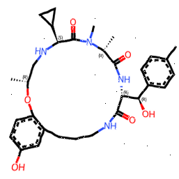 Cc1ccc([C@@H](O)[C@H]2NC(=O)[C@@H](C)N(C)C(=O)[C@H](C3CC3)NC[C@@H](C)Oc3ccc(O)cc3CCCNC2=O)cc1